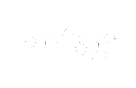 O=C(Nc1cc(F)cc(F)c1)N1CCC2(CC1)CCN(C(=O)c1ccc3c(c1)C(N(C(=O)c1ccccc1Cl)C1CC1)CC3)C2